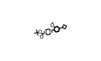 COc1cc(C2CCC2)ccc1N1CCN(C(=O)OC(C)(C)C)CC1